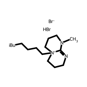 Br.CCC(C)CCCC[N+]12CCCN=C1N(C)CCC2.[Br-]